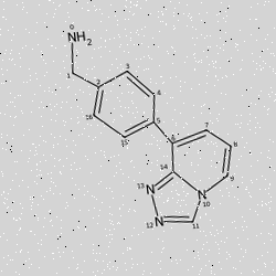 NCc1ccc(-c2cccn3cnnc23)cc1